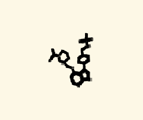 CC(=O)N1CCC[C@@H](COc2ccnc3[nH]cc(-c4ccc(CNS(C)(=O)=O)cc4)c23)C1